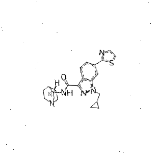 O=C(N[C@@H]1CN2CCC1CC2)c1nn(CC2CC2)c2cc(-c3nccs3)ccc12